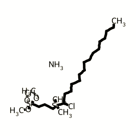 CCCCCCCCCCCCCCCC(Cl)[Si](C)(C)CCC[Si](OC)(OC)OC.N